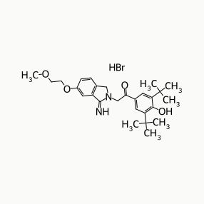 Br.COCCOc1ccc2c(c1)C(=N)N(CC(=O)c1cc(C(C)(C)C)c(O)c(C(C)(C)C)c1)C2